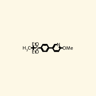 CCC(C)(CC)S(=O)(=O)c1ccc(-c2ccc(OC)nc2)cc1